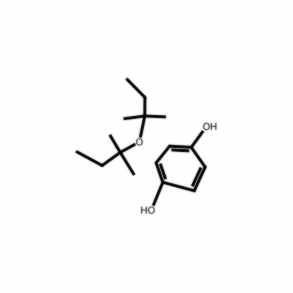 CCC(C)(C)OC(C)(C)CC.Oc1ccc(O)cc1